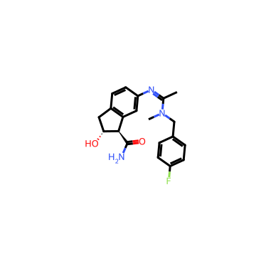 CC(=Nc1ccc2c(c1)[C@@H](C(N)=O)[C@H](O)C2)N(C)Cc1ccc(F)cc1